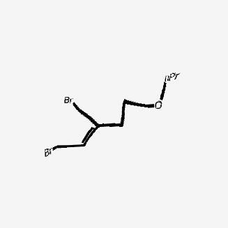 CCCOCCC(Br)=CBr